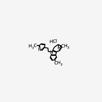 Cc1ccc2c(c1)c1c(n2CCc2ccc(C)nc2)CC2CCC1N2C.Cl